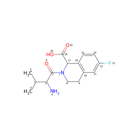 CC(C)C(N)C(=O)N1CCc2cc(F)ccc2C1C(=O)O